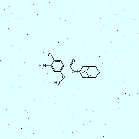 COc1cc(N)c(Cl)cc1C(=O)OC1CC2CSCC(C1)N2C